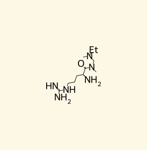 CCN(C)CN(C)C(=O)[C@@H](N)CCCNC(=N)N